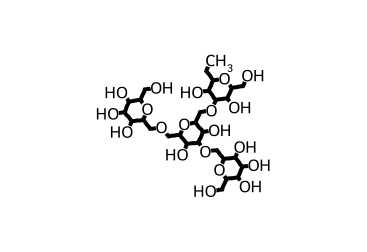 CCC1OC(CO)C(O)C(OCC2OC(COCC3OC(CO)C(O)C(O)C3O)C(O)C(OCC3OC(CO)C(O)C(O)C3O)C2O)C1O